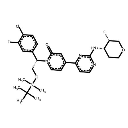 CC(C)(C)[Si](C)(C)OC[C@H](c1ccc(Cl)c(F)c1)n1ccc(-c2ccnc(N[C@H]3CCOC[C@H]3F)n2)cc1=O